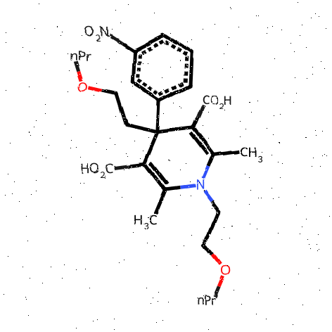 CCCOCCN1C(C)=C(C(=O)O)C(CCOCCC)(c2cccc([N+](=O)[O-])c2)C(C(=O)O)=C1C